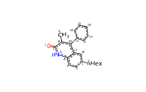 CCCCCCc1ccc2[nH]c(=O)c(C)c(-c3ccccc3)c2c1